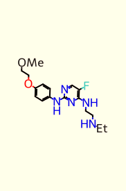 CCNCCNc1nc(Nc2ccc(OCCOC)cc2)ncc1F